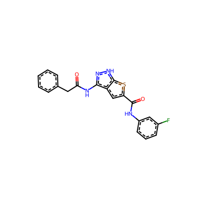 O=C(Cc1ccccc1)Nc1n[nH]c2sc(C(=O)Nc3cccc(F)c3)cc12